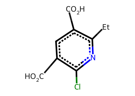 CCc1nc(Cl)c(C(=O)O)cc1C(=O)O